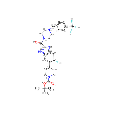 CC(C)(C)OC(=O)N1CC=C(c2cc3[nH]c(C(=O)N4CCN(Cc5ccc(C(F)(F)F)cc5)CC4)nc3cc2F)CC1